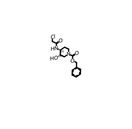 O=C(CCl)N[C@H]1CCN(C(=O)OCc2ccccc2)C[C@@H]1O